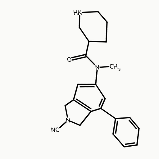 CN(C(=O)C1CCCNC1)c1cc2c(c(-c3ccccc3)c1)CN(C#N)C2